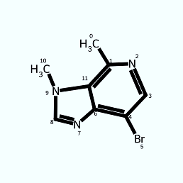 Cc1ncc(Br)c2ncn(C)c12